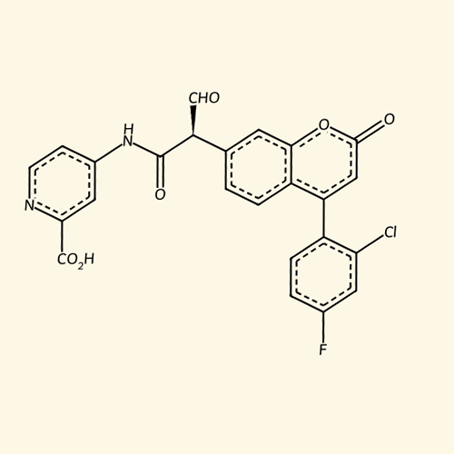 O=C[C@H](C(=O)Nc1ccnc(C(=O)O)c1)c1ccc2c(-c3ccc(F)cc3Cl)cc(=O)oc2c1